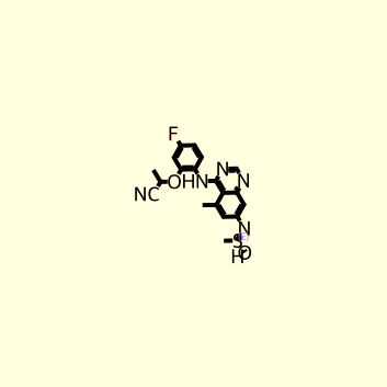 Cc1cc(/N=[SH](\C)=O)cc2ncnc(Nc3ccc(F)cc3OC(C)C#N)c12